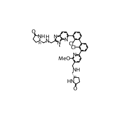 COc1nc(-c2cccc(-c3cccc(-c4ccc5nc(CNC[C@H]6CCC(=O)N6)n(C)c5n4)c3Cl)c2Cl)ccc1CNC[C@@H]1CCC(=O)N1